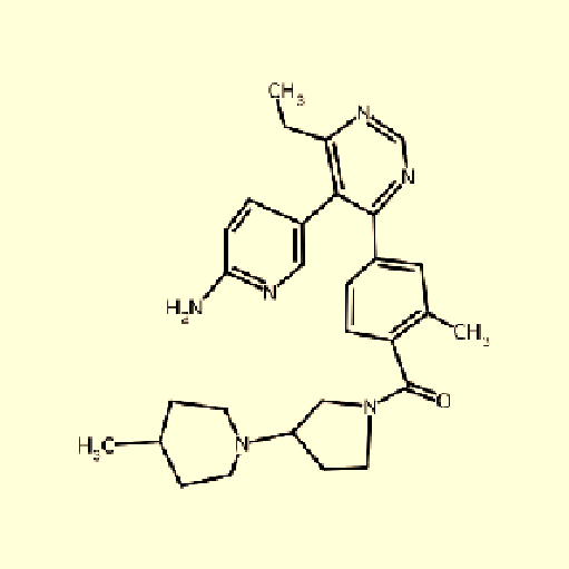 CCc1ncnc(-c2ccc(C(=O)N3CCC(N4CCC(C)CC4)C3)c(C)c2)c1-c1ccc(N)nc1